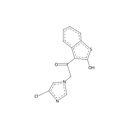 O=C(Cn1cnc(Cl)c1)c1c(O)sc2ccccc12